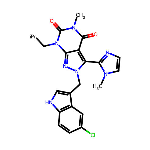 CC(C)Cn1c(=O)n(C)c(=O)c2c(-c3nccn3C)n(Cc3c[nH]c4ccc(Cl)cc34)nc21